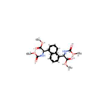 CC(C)(C)OC(=O)NC(C(=O)OC(C)(C)C)c1cccc2c(C(NC(=O)OC(C)(C)C)C(=O)OC(C)(C)C)cccc12